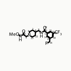 CONC(=O)CN1CCC(CNC(=O)c2cc(CF)cc(C(F)(F)F)c2)CC1